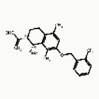 C=C(C=O)[C@@H]1CCc2c(C)cc(OCc3ccccc3C(F)(F)F)c(C)c2[C@@H]1OC